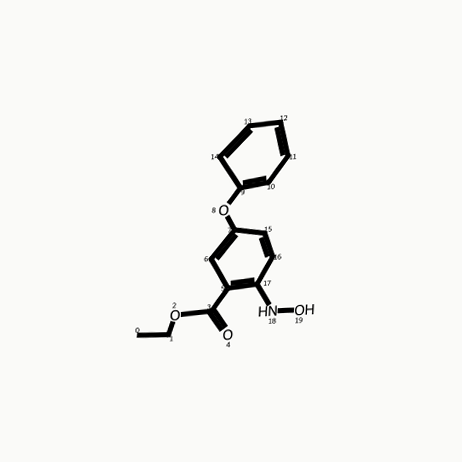 CCOC(=O)c1cc(Oc2ccccc2)ccc1NO